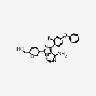 Nc1ncnn2c([C@@H]3CC[C@H](CO)OC3)nc(-c3ccc(Oc4ccccc4)cc3F)c12